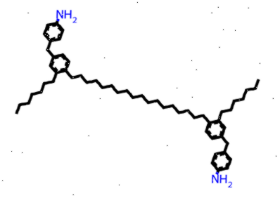 CCCCCCCc1cc(Cc2ccc(N)cc2)ccc1CCCCCCCCCCCCCCCCCCc1ccc(Cc2ccc(N)cc2)cc1CCCCCCC